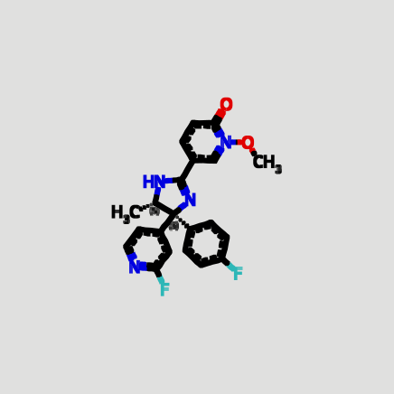 COn1cc(C2=N[C@@](c3ccc(F)cc3)(c3ccnc(F)c3)[C@H](C)N2)ccc1=O